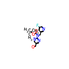 CC(C)(C)OC(=O)N(Cc1cncc(F)c1)c1ncc(C=O)cn1